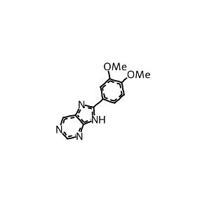 COc1ccc(-c2nc3cncnc3[nH]2)cc1OC